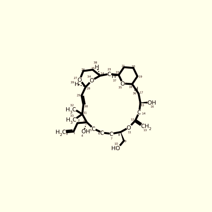 C=CC[C@]1(O)CCC[C@H](CO)OC(=C)C[C@H](O)C[C@@H]2CCC[C@H](C[C@@H]3CCO[C@H](/C=C/C1(C)C)O3)O2